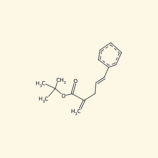 C=C(CC=Cc1ccccc1)C(=O)OC(C)(C)C